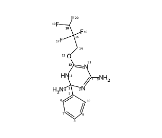 NC1=NC(N)(c2ccccc2)NC(OCC(F)(F)C(F)F)=N1